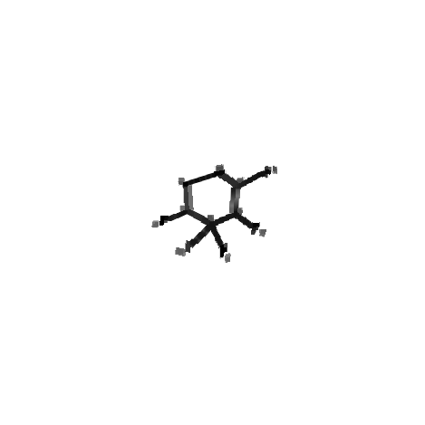 FC1=C[CH]C(F)=C(F)C1(F)I